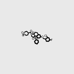 O=C(C1CCS(=O)(=O)CC1)N1CC[C@@]2(S(=O)(=O)c3ccccc3)c3ccc(OCc4ccc(F)cc4Cl)cc3CC[C@@H]12